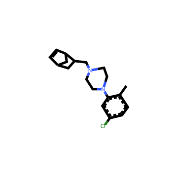 Cc1ccc(Cl)cc1N1CCN(CC2CC3C=CC2C3)CC1